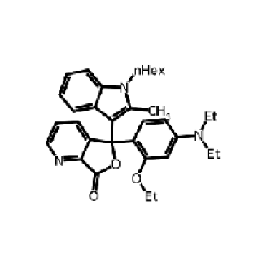 CCCCCCn1c(C)c(C2(c3ccc(N(CC)CC)cc3OCC)OC(=O)c3ncccc32)c2ccccc21